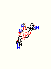 O=C(/C=C\C(=O)Oc1cc(Oc2nccs2)cc2c1C[C@H]1NCC[C@@]23CCCC[C@@H]13)Oc1cc(Oc2nccs2)cc2c1C[C@H]1NCC[C@@]23CCCC[C@@H]13